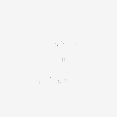 CCc1ccn2ncc(C(=O)Nc3cn(C4CCCCC4)nc3C(F)F)c2n1